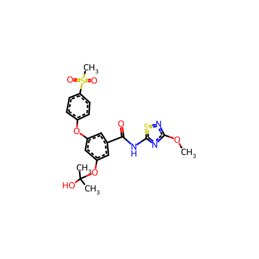 COc1nsc(NC(=O)c2cc(Oc3ccc(S(C)(=O)=O)cc3)cc(OC(C)(C)O)c2)n1